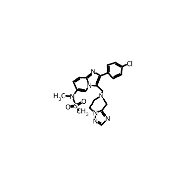 CN(c1ccc2nc(-c3ccc(Cl)cc3)c(CN3CCn4ncnc4C3)n2c1)S(C)(=O)=O